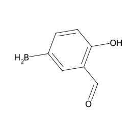 Bc1ccc(O)c(C=O)c1